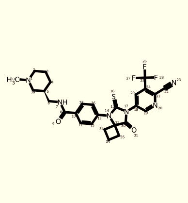 CN1CCC[C@@H](CNC(=O)c2ccc(N3C(=S)N(c4cnc(C#N)c(C(F)(F)F)c4)C(=O)C34CCC4)cc2)C1